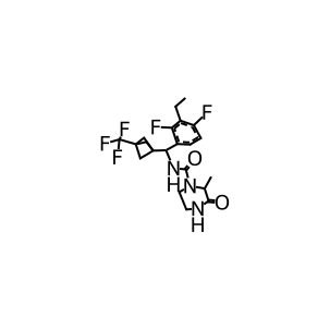 CCc1c(F)ccc(C(NC(=O)N2CCNC(=O)C2C)C23CC(C(F)(F)F)(C2)C3)c1F